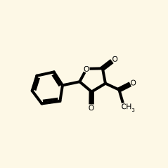 CC(=O)C1C(=O)OC(c2ccccc2)C1=O